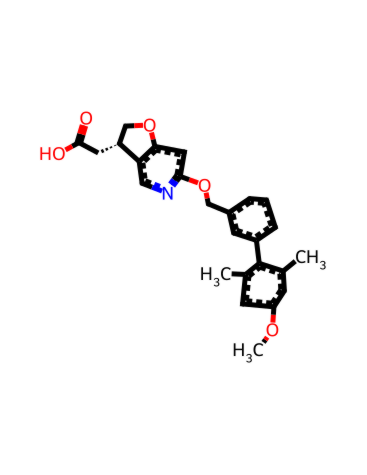 COc1cc(C)c(-c2cccc(COc3cc4c(cn3)[C@H](CC(=O)O)CO4)c2)c(C)c1